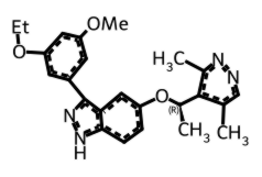 CCOc1cc(OC)cc(-c2n[nH]c3ccc(O[C@H](C)c4c(C)cnnc4C)cc23)c1